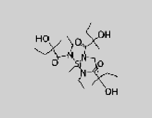 CCN(C(=O)C(C)(O)CC)[Si](C)(N(CC)C(=O)C(C)(O)CC)N(CC)C(=O)C(C)(O)CC